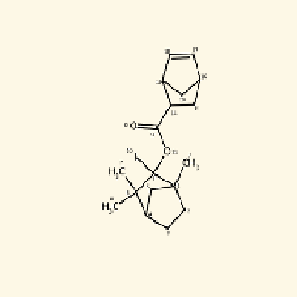 CC12CCC(C1)C(C)(C)C2(I)OC(=O)C1CC2C=CC1C2